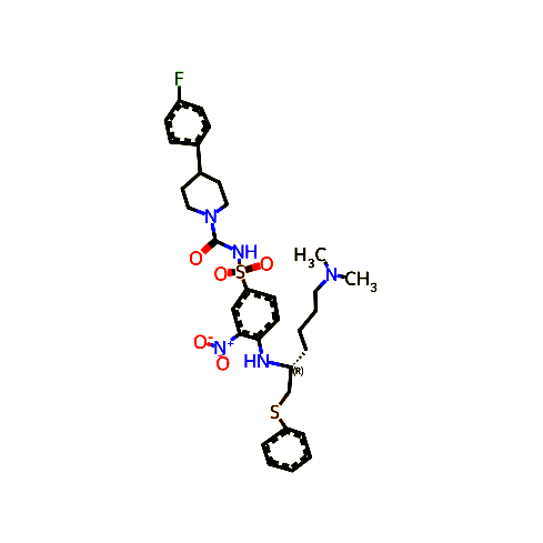 CN(C)CCCC[C@H](CSc1ccccc1)Nc1ccc(S(=O)(=O)NC(=O)N2CCC(c3ccc(F)cc3)CC2)cc1[N+](=O)[O-]